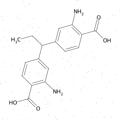 CCC(c1ccc(C(=O)O)c(N)c1)c1ccc(C(=O)O)c(N)c1